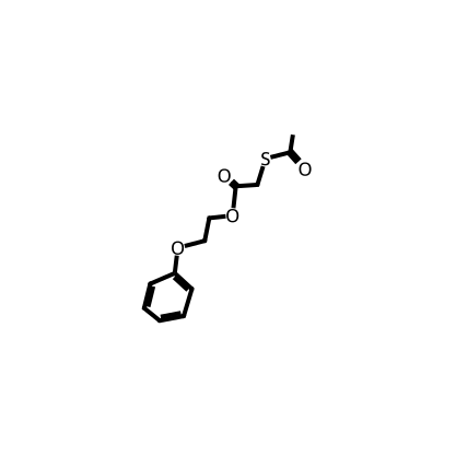 CC(=O)SCC(=O)OCCOc1ccccc1